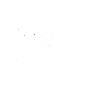 O=C(NCCCCC1CCCCC1)c1coc([C@H]2[C@@H](Cc3ccccc3CCCS)[C@@H]3CC[C@H]2O3)n1